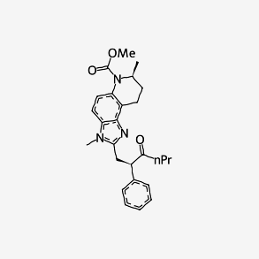 CCCC(=O)[C@H](Cc1nc2c3c(ccc2n1C)N(C(=O)OC)[C@@H](C)CC3)c1ccccc1